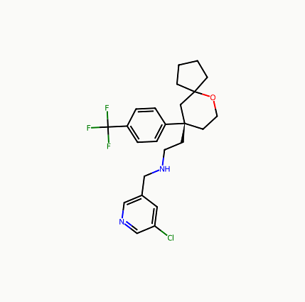 FC(F)(F)c1ccc([C@@]2(CCNCc3cncc(Cl)c3)CCOC3(CCCC3)C2)cc1